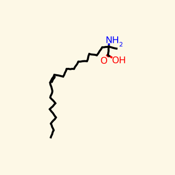 CCCCCCCC/C=C\CCCCCCCCC(C)(N)C(=O)O